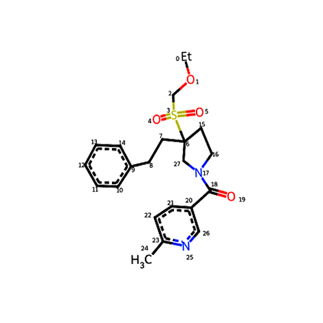 CCOCS(=O)(=O)C1(CCc2ccccc2)CCN(C(=O)c2ccc(C)nc2)C1